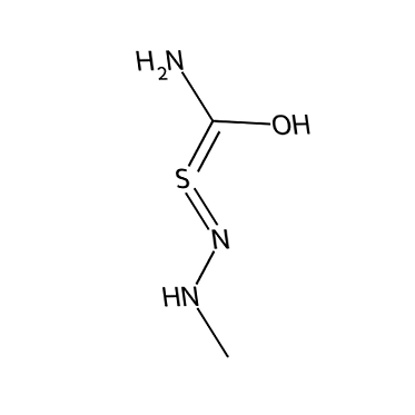 CNN=S=C(N)O